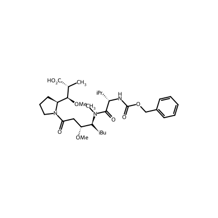 CC[C@H](C)[C@@H]([C@@H](CC(=O)N1CCC[C@H]1[C@H](OC)[C@@H](C)C(=O)O)OC)N(C)C(=O)[C@@H](NC(=O)OCc1ccccc1)C(C)C